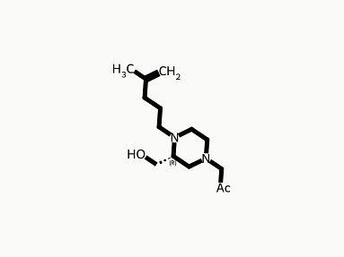 C=C(C)CCCN1CCN(CC(C)=O)C[C@@H]1CO